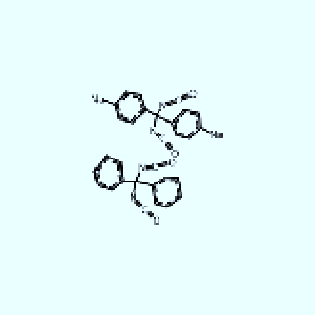 O=C=NC(N=C=O)(c1cc[c]([Na])cc1)c1cc[c]([Na])cc1.O=C=NC(N=C=O)(c1ccccc1)c1ccccc1